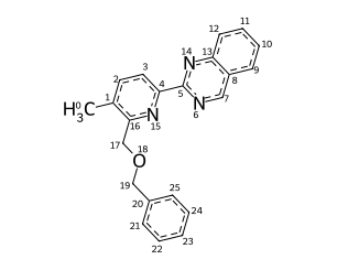 Cc1ccc(-c2ncc3ccccc3n2)nc1COCc1ccccc1